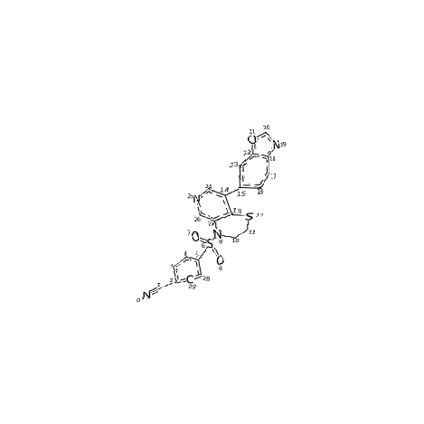 N#Cc1ccc(S(=O)(=O)N2CCSc3c(-c4ccc5ncoc5c4)cncc32)cc1